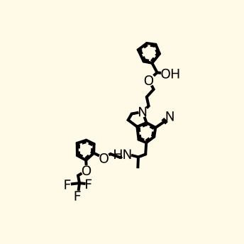 CC(Cc1cc(C#N)c2c(c1)CCN2CCCOC(O)c1ccccc1)NCCOc1ccccc1OCC(F)(F)F